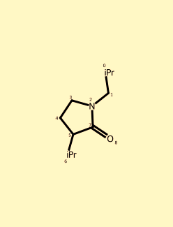 CC(C)CN1CCC(C(C)C)C1=O